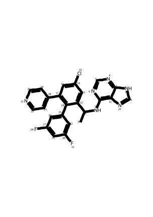 CC(Nc1ncnc2[nH]cnc12)c1cc(Cl)cc(-c2ccncc2)c1-c1cc(F)cc(F)c1